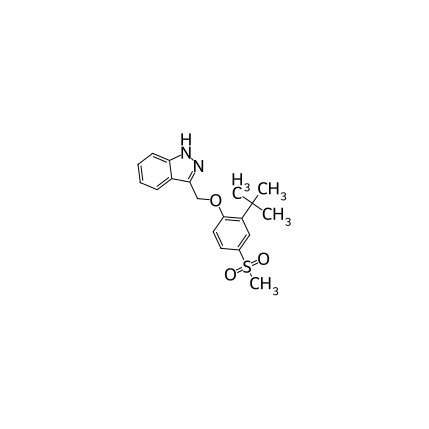 CC(C)(C)c1cc(S(C)(=O)=O)ccc1OCc1n[nH]c2ccccc12